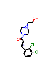 O=C(/C=C/c1cc[c]c(Cl)c1Cl)N1CCN(CCO)CC1